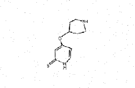 S=c1cc(OC2CCNCC2)cc[nH]1